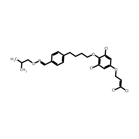 CC(C)CON=Cc1ccc(CCCCOc2c(Cl)cc(OCC=C(Cl)Cl)cc2Cl)cc1